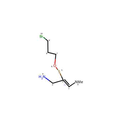 CN/C=C(/CN)SOCCCBr